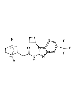 O=C(CC1C[C@@H]2CC[C@H]1C2)Nc1nc2cc(C(F)(F)F)cnc2n1C1CCC1